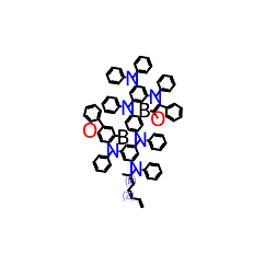 C=C/C=C\C=C(/C)N(c1ccccc1)c1cc2c3c(c1)N(c1ccccc1)c1cc4oc5ccccc5c4cc1B3c1cc3c(cc1N2c1ccccc1)B1c2oc4ccccc4c2N(c2ccccc2)c2cc(N(c4ccccc4)c4ccccc4)cc(c21)N3c1ccccc1